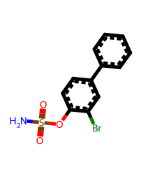 NS(=O)(=O)Oc1ccc(-c2ccccc2)cc1Br